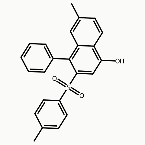 Cc1ccc(S(=O)(=O)c2cc(O)c3ccc(C)cc3c2-c2ccccc2)cc1